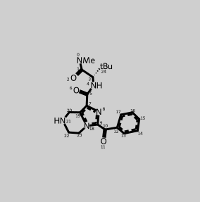 CNC(=O)[C@@H](NC(=O)c1nc(C(=O)c2ccccc2)n2c1CNCC2)C(C)(C)C